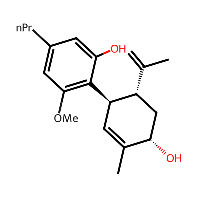 C=C(C)[C@@H]1C[C@H](O)C(C)=C[C@H]1c1c(O)cc(CCC)cc1OC